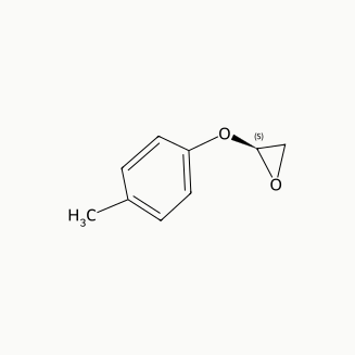 Cc1ccc(O[C@H]2CO2)cc1